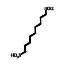 CCCCCCCCCCCCCCCC[CH]S(=O)(=O)O